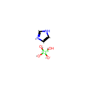 [O-][Cl+3]([O-])([O-])O.c1c[nH]cn1